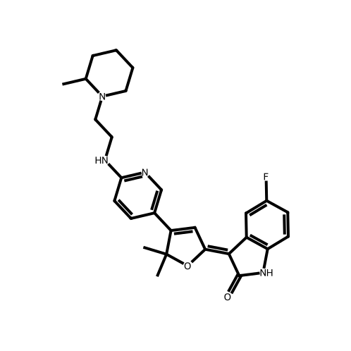 CC1CCCCN1CCNc1ccc(C2=CC(=C3C(=O)Nc4ccc(F)cc43)OC2(C)C)cn1